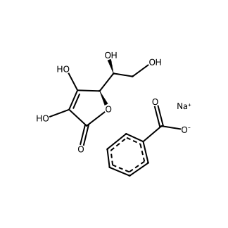 O=C([O-])c1ccccc1.O=C1O[C@H]([C@@H](O)CO)C(O)=C1O.[Na+]